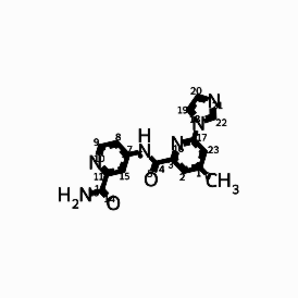 Cc1cc(C(=O)Nc2ccnc(C(N)=O)c2)nc(-n2ccnc2)c1